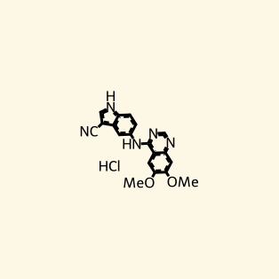 COc1cc2ncnc(Nc3ccc4[nH]cc(C#N)c4c3)c2cc1OC.Cl